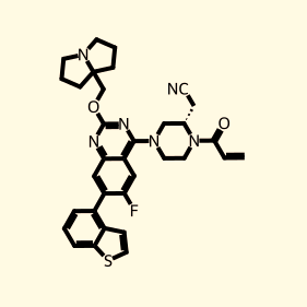 C=CC(=O)N1CCN(c2nc(OCC34CCCN3CCC4)nc3cc(-c4cccc5sccc45)c(F)cc23)C[C@@H]1CC#N